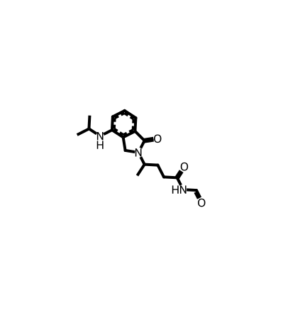 CC(C)Nc1cccc2c1CN(C(C)CCC(=O)NC=O)C2=O